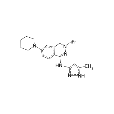 Cc1cc(NC2=NN(C(C)C)Cc3cc(N4CCCCC4)ccc32)n[nH]1